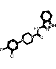 O=C(Nc1n[nH]c2ccccc12)N1CCN(c2ccc(Cl)c(Cl)c2)CC1